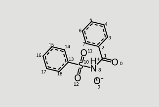 O=C(c1ccccc1)[NH+]([O-])S(=O)(=O)c1ccccc1